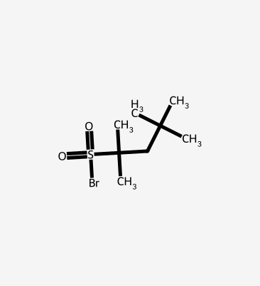 CC(C)(C)CC(C)(C)S(=O)(=O)Br